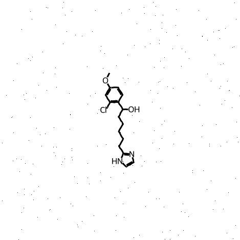 COc1ccc(C(O)CCCCCc2ncc[nH]2)c(Cl)c1